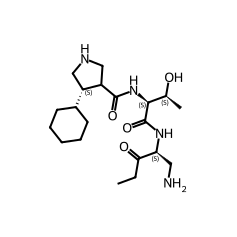 CCC(=O)[C@H](CN)NC(=O)[C@@H](NC(=O)C1CNC[C@H]1C1CCCCC1)[C@H](C)O